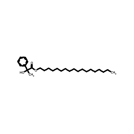 CCCCCCCCCCCCCCCCCCOC(=O)C(C)(O)c1ccccc1